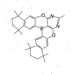 Cc1nc2c3c(n1)Oc1cc4c(cc1B3c1cc3c(cc1O2)C(C)(C)CCC3(C)C)C(C)(C)CCC4(C)C